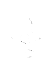 CC[C@@H]1C(c2ncco2)=CC(Br)CN1BOC=N